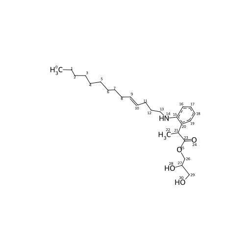 CCCCCCCCCC=CCCCNc1ccccc1C(C)C(=O)OCC(O)CO